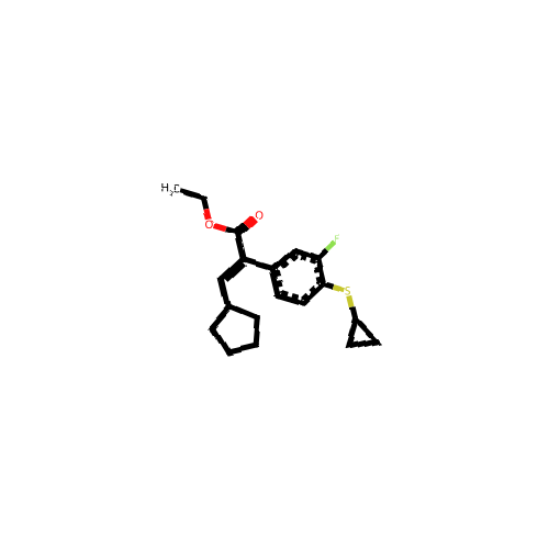 CCOC(=O)/C(=C/C1CCCC1)c1ccc(SC2CC2)c(F)c1